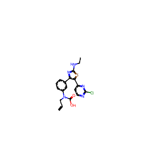 C=CCN(C(=O)O)c1cccc(-c2nc(NCC)sc2-c2ccnc(Cl)n2)c1